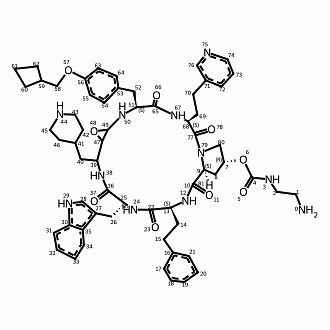 NCCNC(=O)O[C@@H]1C[C@H]2C(=O)N[C@@H](CCc3ccccc3)C(=O)N[C@H](Cc3c[nH]c4ccccc34)C(=O)NC(CC3CCNCC3)C3OC3N[C@@H](Cc3ccc(OCC4CCC4)cc3)C(=O)N[C@@H](CCc3cccnc3)C(=O)N2C1